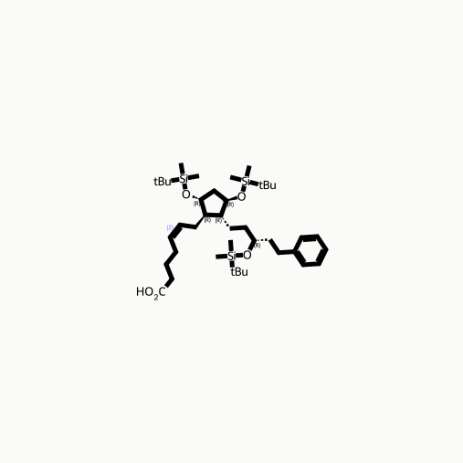 CC(C)(C)[Si](C)(C)O[C@@H](CCc1ccccc1)CC[C@@H]1[C@@H](C/C=C\CCCC(=O)O)[C@H](O[Si](C)(C)C(C)(C)C)C[C@H]1O[Si](C)(C)C(C)(C)C